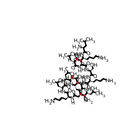 CC(C)C[C@H](NC(=O)[C@H](CC(C)C)NC(=O)[C@H](CCCCN)NC(=O)[C@H](CO)NC(=O)[C@H](CC(C)C)NC(=O)[C@H](CC(C)C)NC(=O)[C@H](CCCCN)NC(=O)[C@@H](N)CC(C)C)C(=O)NCC(=O)N[C@@H](CCCCN)C(=O)N[C@@H](CC(C)C)C(=O)N[C@@H](CC(C)C)C(=O)N[C@@H](CCCCN)C(N)=O